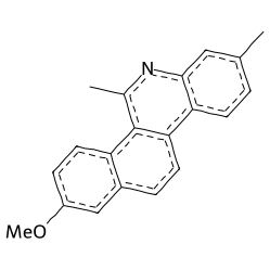 COc1ccc2c(ccc3c4ccc(C)cc4nc(C)c23)c1